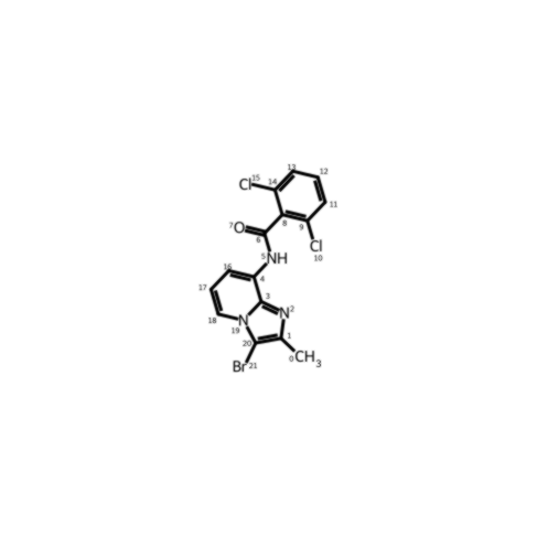 Cc1nc2c(NC(=O)c3c(Cl)cccc3Cl)cccn2c1Br